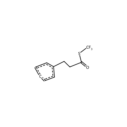 O=C(CCc1ccccc1)SC(F)(F)F